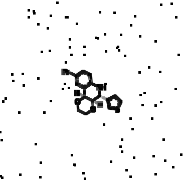 CC(C)c1ccc2c(c1)[C@@H]1OCCO[C@@H]1[C@@H](c1ccsc1)N2